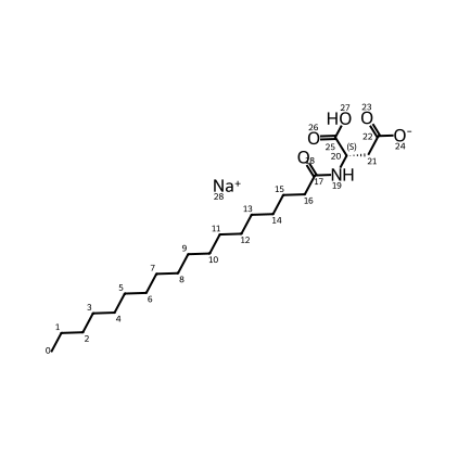 CCCCCCCCCCCCCCCCCC(=O)N[C@@H](CC(=O)[O-])C(=O)O.[Na+]